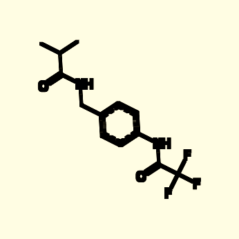 CC(C)C(=O)NCc1ccc(NC(=O)C(F)(F)F)cc1